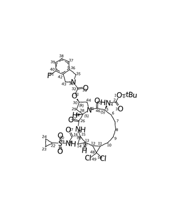 CC(C)(C)OC(=O)N[C@H]1CCCCCC2C([C@@H]3C[C@@]3(C(=O)NS(=O)(=O)C3CC3)NC(=O)[C@@H]3C[C@@H](OC(=O)N4Cc5cccc(F)c5C4)CN3C1=O)C2(Cl)Cl